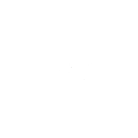 CCCCC1=Cc2ccccc2[CH]1[Zr+2]([CH]1C(CCCC)=Cc2ccccc21)[SiH](CC)CC.[Cl-].[Cl-]